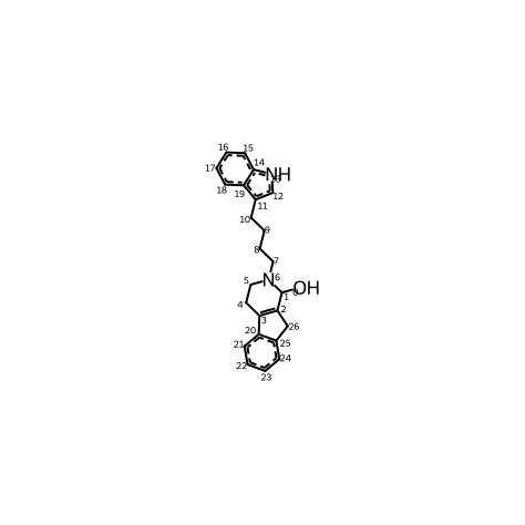 OC1C2=C(CCN1CCCCc1c[nH]c3ccccc13)c1ccccc1C2